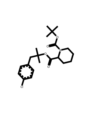 CC(C)(C)OC(=O)N1CCCCC1C(=O)OC(C)(C)Cc1ccc(Cl)cc1